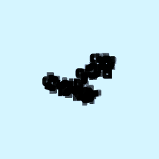 Cc1ccc2nc(-c3ccc(N4CCOCC4)nc3)c(NCC(=O)N3CCN(c4c(Cl)cncc4Cl)CC3)n2c1